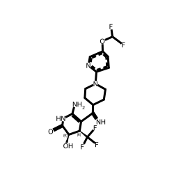 N=C(C1=C(N)NC(=O)[C@H](O)[C@@H]1C(F)(F)F)C1CCN(c2ccc(OC(F)F)cn2)CC1